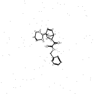 O=C(OCc1ccccc1)C(=O)C1CC2(C3OCCCO3)C=CC1O2